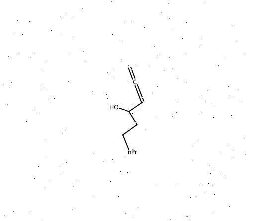 C=C=CC(O)CCCCC